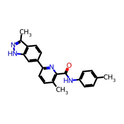 Cc1ccc(NC(=O)c2nc(-c3ccc4c(C)n[nH]c4c3)ccc2C)cc1